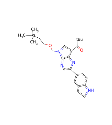 CC(C)(C)C(=O)c1cn(COCC[Si](C)(C)C)c2ncc(-c3ccc4[nH]ccc4c3)nc12